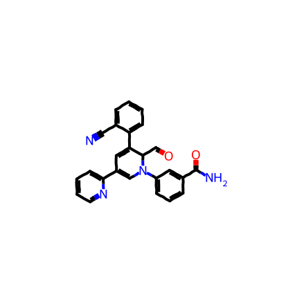 N#Cc1ccccc1C1=CC(c2ccccn2)=CN(c2cccc(C(N)=O)c2)C1C=O